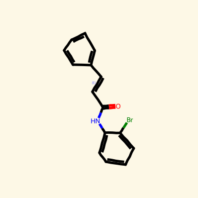 O=C(/C=C/c1ccccc1)Nc1ccccc1Br